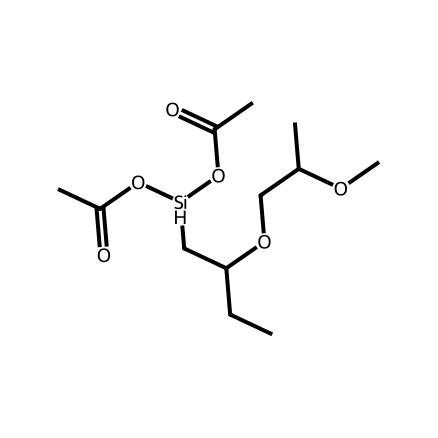 CCC(C[SiH](OC(C)=O)OC(C)=O)OCC(C)OC